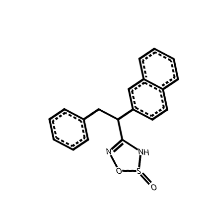 O=S1NC(C(Cc2ccccc2)c2ccc3ccccc3c2)=NO1